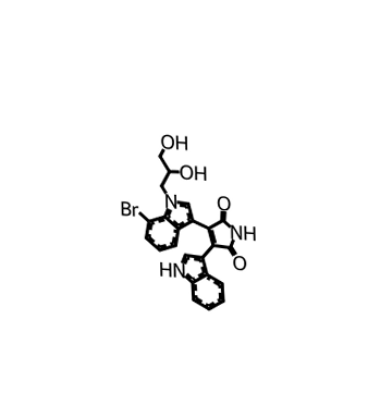 O=C1NC(=O)C(c2cn(CC(O)CO)c3c(Br)cccc23)=C1c1c[nH]c2ccccc12